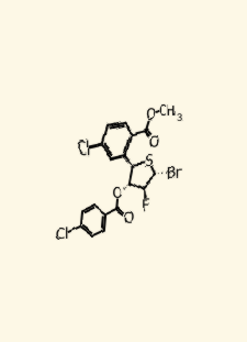 COC(=O)c1ccc(Cl)cc1[C@H]1S[C@H](Br)[C@@H](F)[C@@H]1OC(=O)c1ccc(Cl)cc1